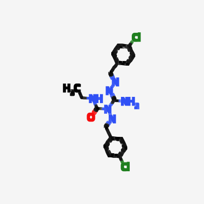 CCNC(=O)N(/N=C/c1ccc(Cl)cc1)/C(N)=N/N=C/c1ccc(Cl)cc1